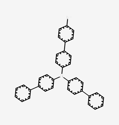 Bc1ccc(-c2ccc(N(c3ccc(-c4ccccc4)cc3)c3ccc(-c4ccccc4)cc3)cc2)cc1